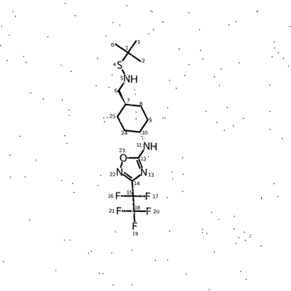 CC(C)(C)SNC[C@H]1CC[C@H](Nc2nc(C(F)(F)C(F)(F)F)no2)CC1